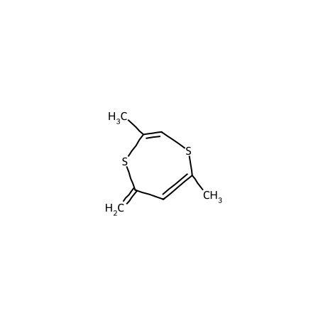 C=C1C=C(C)SC=C(C)S1